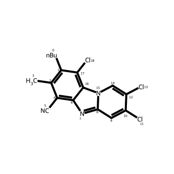 CCCCc1c(C)c(C#N)c2nc3cc(Cl)c(Cl)cn3c2c1Cl